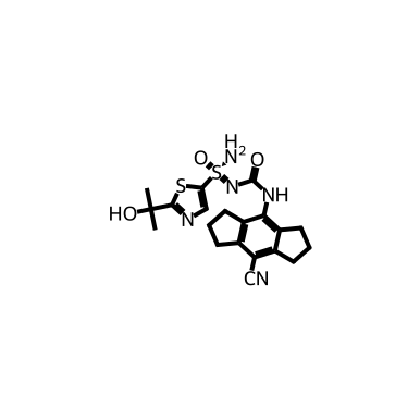 CC(C)(O)c1ncc([S@](N)(=O)=NC(=O)Nc2c3c(c(C#N)c4c2CCC4)CCC3)s1